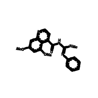 CNC(=Nc1ccccc1)NC(=O)c1ccnc2cc(OC)cc(OC)c12